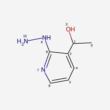 CC(O)c1cccnc1NN